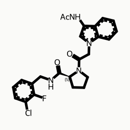 CC(=O)Nc1cn(CC(=O)N2CCC[C@H]2C(=O)NCc2cccc(Cl)c2F)c2ccccc12